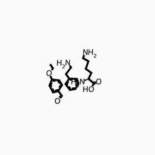 CCOc1ccc(C=O)cc1.NCCCC[C@H](N)C(=O)O.NCCc1ccccc1